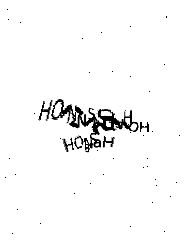 O=S(=O)(O)CC[N+]1(C(CN2CCN(CCO)CC2)S(=O)(=O)O)CCN(CCO)CC1.[NaH]